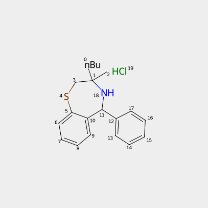 CCCCC1(C)CSc2ccccc2C(c2ccccc2)N1.Cl